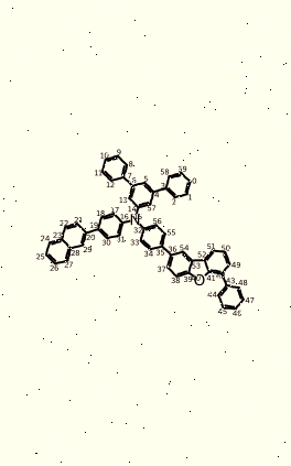 c1ccc(-c2cc(-c3ccccc3)cc(N(c3ccc(-c4ccc5ccccc5c4)cc3)c3ccc(-c4ccc5oc6c(-c7ccccc7)cccc6c5c4)cc3)c2)cc1